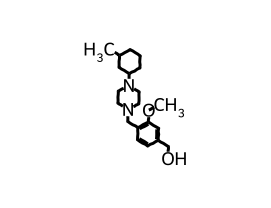 COc1cc(CO)ccc1CN1CCN(C2CCCC(C)C2)CC1